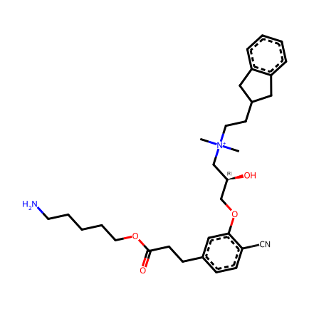 C[N+](C)(CCC1Cc2ccccc2C1)C[C@@H](O)COc1cc(CCC(=O)OCCCCCN)ccc1C#N